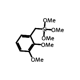 COc1cccc(C[Si](OC)(OC)OC)c1OC